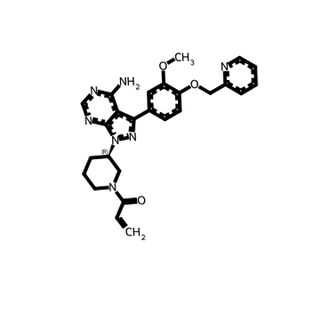 C=CC(=O)N1CCC[C@@H](n2nc(-c3ccc(OCc4ccccn4)c(OC)c3)c3c(N)ncnc32)C1